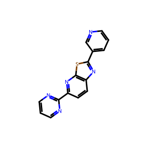 c1cnc(-c2ccc3nc(-c4cccnc4)sc3n2)nc1